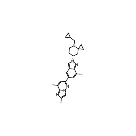 Cc1cn2nc(-c3cc(F)c4nn([C@@H]5CCN(CC6CC6)C6(CC6)C5)cc4c3)cc(C)c2n1